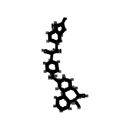 Cc1cc2cc(NC(=O)c3ccc(Nc4ncc5c(n4)-c4ccccc4N(C)C(=O)C5)cc3)ccc2[nH]1